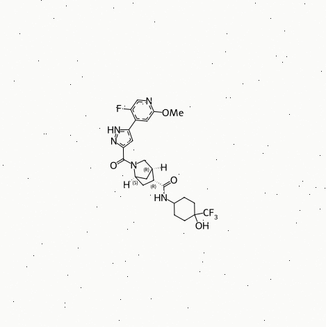 COc1cc(-c2cc(C(=O)N3C[C@@H]4C[C@H]3C[C@H]4C(=O)NC3CCC(O)(C(F)(F)F)CC3)n[nH]2)c(F)cn1